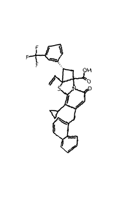 C=CC12Sc3c(C4CC4)c(Cc4cccc5ccccc45)cc(=O)n3C1(C(=O)O)C[C@H]2c1cccc(C(F)(F)F)c1